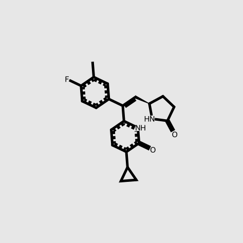 Cc1cc(/C(=C/[C@H]2CCC(=O)N2)c2ccc(C3CC3)c(=O)[nH]2)ccc1F